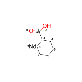 O=C(O)C1CCCCC1.[Nd]